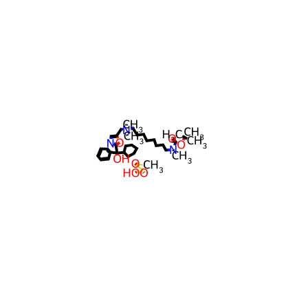 CN(CCCCCCCC[N+](C)(C)Cc1cnc(C(O)(c2ccccc2)C2CCCCC2)o1)C(=O)OC(C)(C)C.CS(=O)(=O)O